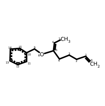 C=CCCCC(=CC)OCc1ccccc1